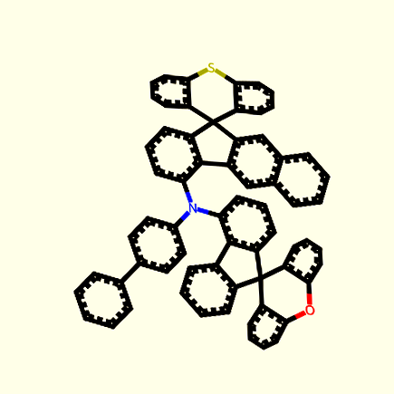 c1ccc(-c2ccc(N(c3cccc4c3-c3ccccc3C43c4ccccc4Oc4ccccc43)c3cccc4c3-c3cc5ccccc5cc3C43c4ccccc4Sc4ccccc43)cc2)cc1